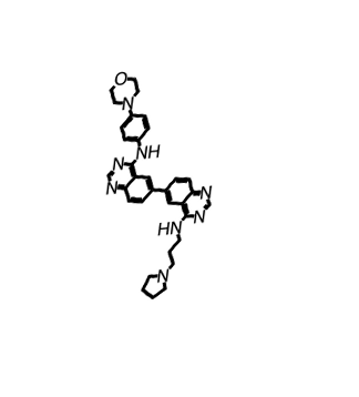 c1nc(NCCCN2CCCC2)c2cc(-c3ccc4ncnc(Nc5ccc(N6CCOCC6)cc5)c4c3)ccc2n1